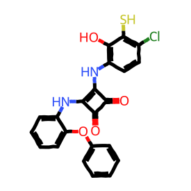 O=c1c(Nc2ccccc2Oc2ccccc2)c(Nc2ccc(Cl)c(S)c2O)c1=O